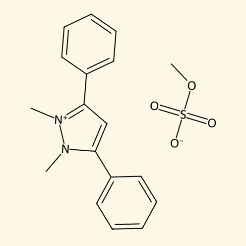 COS(=O)(=O)[O-].Cn1c(-c2ccccc2)cc(-c2ccccc2)[n+]1C